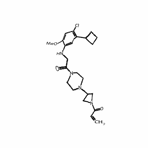 C=CC(=O)N1CC(N2CCN(C(=O)CNc3cc(C4CCC4)c(Cl)cc3OC)CC2)C1